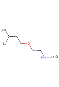 CCCCC(CC)CCOCCNC=O